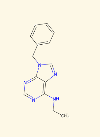 CCNc1ncnc2c1ncn2Cc1ccccc1